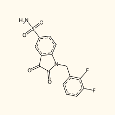 NS(=O)(=O)c1ccc2c(c1)C(=O)C(=O)N2Cc1cccc(F)c1F